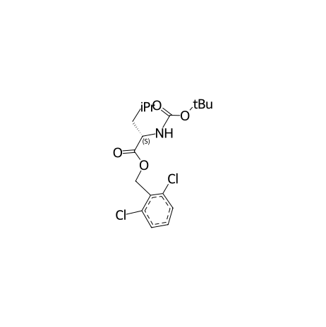 CC(C)C[C@H](NC(=O)OC(C)(C)C)C(=O)OCc1c(Cl)cccc1Cl